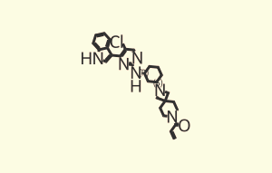 C=CC(=O)N1CCC2(CC1)CN([C@H]1CCC[C@@H](Nc3ncc(Cl)c(-c4c[nH]c5ccccc45)n3)C1)C2